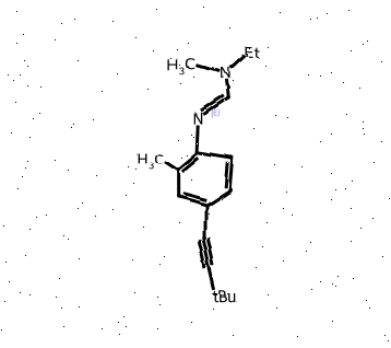 CCN(C)/C=N/c1ccc(C#CC(C)(C)C)cc1C